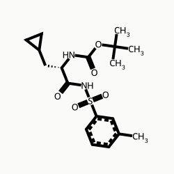 Cc1cccc(S(=O)(=O)NC(=O)[C@H](CC2CC2)NC(=O)OC(C)(C)C)c1